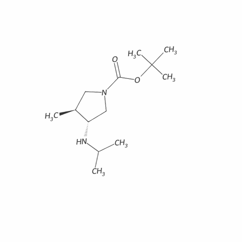 CC(C)N[C@H]1CN(C(=O)OC(C)(C)C)C[C@@H]1C